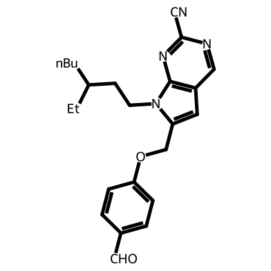 CCCCC(CC)CCn1c(COc2ccc(C=O)cc2)cc2cnc(C#N)nc21